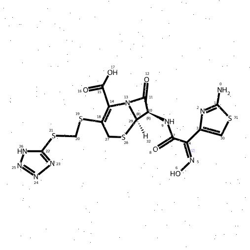 Nc1nc(/C(=N/O)C(=O)N[C@@H]2C(=O)N3C(C(=O)O)=C(SCSc4nnn[nH]4)CS[C@H]23)cs1